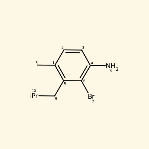 Cc1ccc(N)c(Br)c1CC(C)C